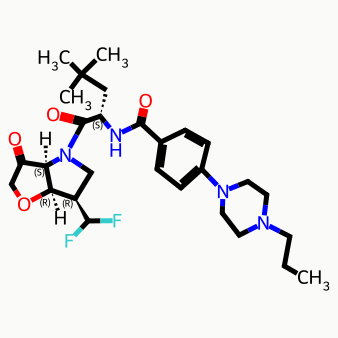 CCCN1CCN(c2ccc(C(=O)N[C@@H](CC(C)(C)C)C(=O)N3C[C@@H](C(F)F)[C@H]4OCC(=O)[C@H]43)cc2)CC1